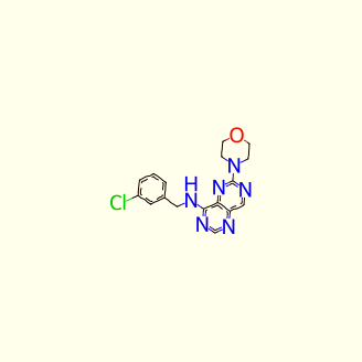 Clc1cccc(CNc2ncnc3cnc(N4CCOCC4)nc23)c1